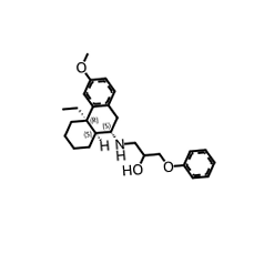 CC[C@@]12CCCC[C@@H]1[C@@H](NCC(O)COc1ccccc1)Cc1ccc(OC)cc12